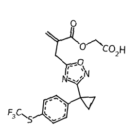 C=C(Cc1nc(C2(c3ccc(SC(F)(F)F)cc3)CC2)no1)C(=O)OCC(=O)O